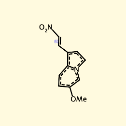 COc1ccc2c(/C=C/[N+](=O)[O-])ccn2c1